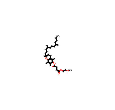 Cc1c(C)c2c(c(C)c1OC(=O)CCC(=O)OCCOC(C)C)CCC(C)(CCCC(C)CCCC(C)CCCC(C)C)O2